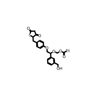 CCC(=O)OCOC(COc1ccc(CC2SC(=O)CC2=O)cc1)c1cccc(CO)c1